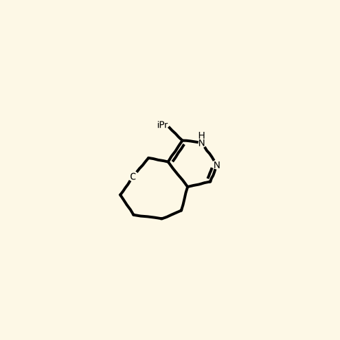 CC(C)C1=C2CCCCCCC2C=NN1